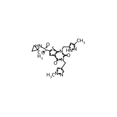 Cc1cc(Cn2c(=O)n(Cc3cnn(C)c3)c(=O)c3cc(S(=O)(=O)NC4(C)CC4)sc32)[nH]n1